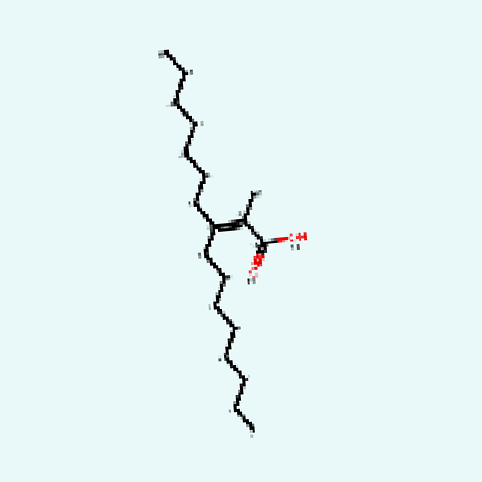 CCCCCCCCC(CCCCCCC)=C(C)C(=O)O